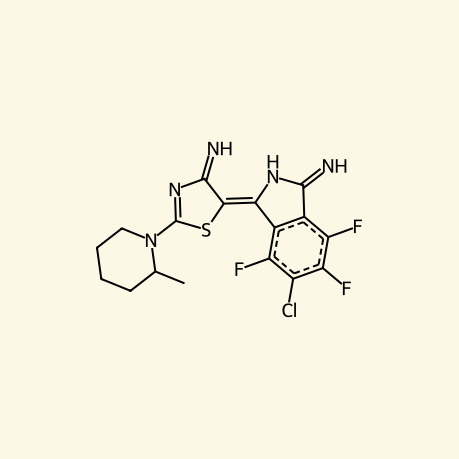 CC1CCCCN1C1=NC(=N)C(=C2NC(=N)c3c(F)c(F)c(Cl)c(F)c32)S1